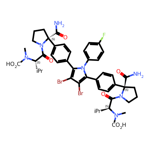 CC(C)[C@@H](C(=O)N1CCC[C@@]1(C(N)=O)c1ccc(-c2c(Br)c(Br)c(-c3ccc([C@]4(C(N)=O)CCCN4C(=O)[C@H](C(C)C)N(C)C(=O)O)cc3)n2-c2ccc(F)cc2)cc1)N(C)C(=O)O